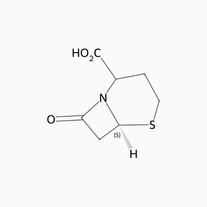 O=C(O)C1CCS[C@H]2CC(=O)N12